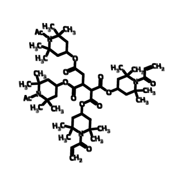 C=CC(=O)N1C(C)(C)CC(OC(=O)C(C(=O)OC2CC(C)(C)N(C(=O)C=C)C(C)(C)C2)C(CC(=O)OC2CC(C)(C)N(C(C)=O)C(C)(C)C2)C(=O)OC2CC(C)(C)N(C(C)=O)C(C)(C)C2)CC1(C)C